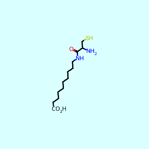 NC(CS)C(=O)NCCCCCCCCCC(=O)O